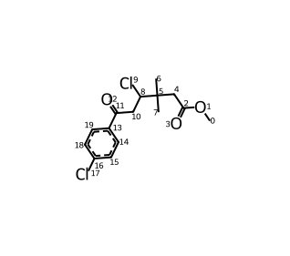 COC(=O)CC(C)(C)C(Cl)CC(=O)c1ccc(Cl)cc1